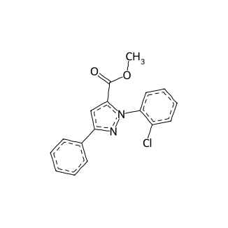 COC(=O)c1cc(-c2ccccc2)nn1-c1ccccc1Cl